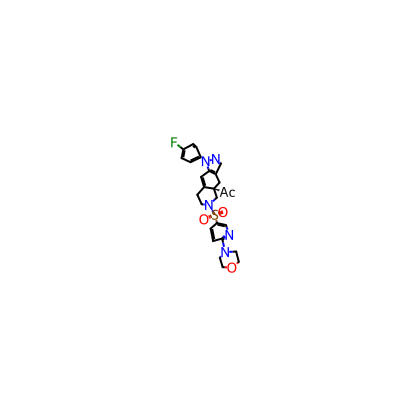 CC(=O)[C@]12Cc3cnn(-c4ccc(F)cc4)c3C=C1CCN(S(=O)(=O)c1ccc(N3CCOCC3)nc1)C2